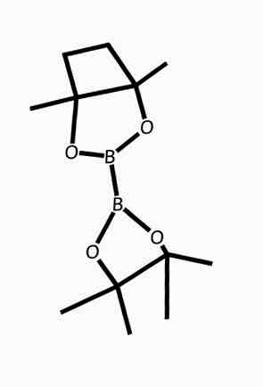 CC1(C)OB(B2OC3(C)CCC3(C)O2)OC1(C)C